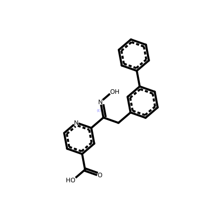 O=C(O)c1ccnc(/C(Cc2cccc(-c3ccccc3)c2)=N/O)c1